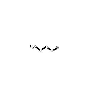 [2H]OOOP